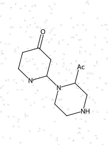 CC(=O)C1CNCCN1C1CC(=O)CC[N]1